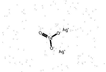 O=[Te]([O-])[O-].[Ag+].[Ag+]